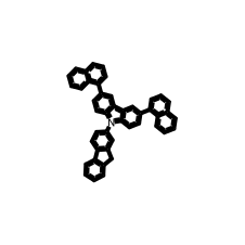 c1ccc2c(c1)Cc1cc(-n3c4ccc(-c5cccc6ccccc56)cc4c4cc(-c5cccc6ccccc56)ccc43)ccc1-2